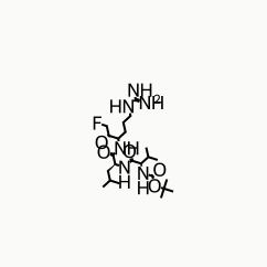 CC(C)C[C@H](NC(=O)[C@H](NC(=O)OC(C)(C)C)C(C)C)C(=O)NC(CCCNC(=N)N)C(=O)CF